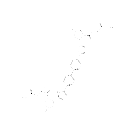 COC(=O)NCC(=O)N1C[C@H](O)C[C@H]1c1ncc(-c2ccc(-c3ccc(-c4cnc([C@@H]5C[C@@H](O)CN5C(=O)[C@H](C)NC(=O)OC)[nH]4)cc3)cc2)[nH]1